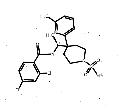 CCCS(=O)(=O)N1CCC(c2cccc(C)n2)([C@H](C)NC(=O)c2ccc(Cl)cc2Cl)CC1